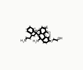 C=C(N)c1ccc(OCCO)c(F)c1-c1c(Cl)c(F)cc2c1CC(CCCCN)(c1ccccc1)N2